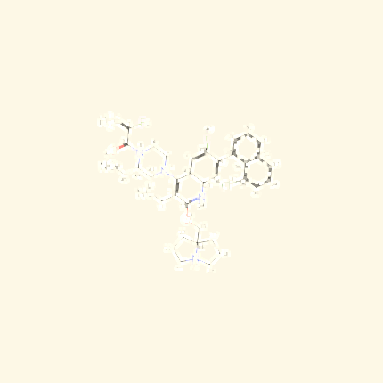 C=C(F)C(=O)N1CCN(C2=C(CC#N)C(OCC34CCCN3CCC4)=NC3C=C(c4cccc5cccc(Cl)c45)C(F)=CC23)C[C@@H]1CC#N